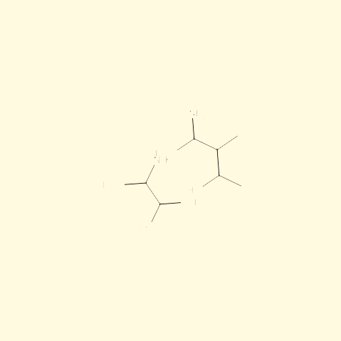 CC(O)C(C)C(N)C(=O)O.NC(C(=O)O)C(O)O